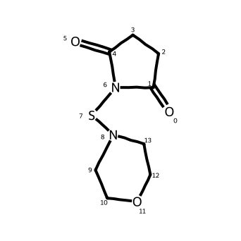 O=C1CCC(=O)N1SN1CCOCC1